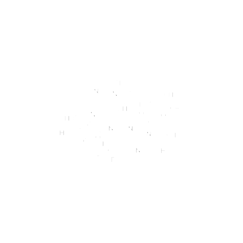 CC(C)N(C(=O)OC(C)(C)C)c1ncc(C(F)(F)F)c(N(Cc2nccnc2N(C)S(C)(=O)=O)C(=O)OC(C)(C)C)n1